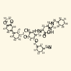 Cc1c(COc2cc(OCc3cccc(C#N)c3)c(CN[C@@H](Cc3cn(Cc4ccccc4)cn3)C(=O)O)cc2Cl)cccc1-c1ccc2c(c1)OCCO2